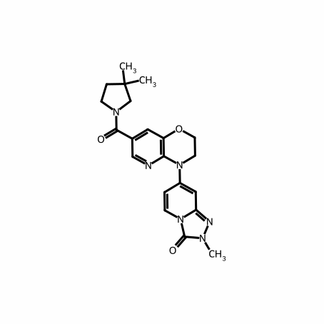 Cn1nc2cc(N3CCOc4cc(C(=O)N5CCC(C)(C)C5)cnc43)ccn2c1=O